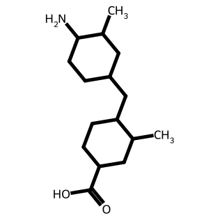 CC1CC(CC2CCC(C(=O)O)CC2C)CCC1N